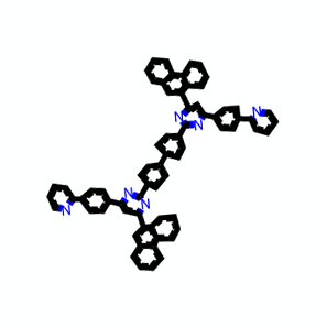 c1ccc(-c2ccc(-c3cc(-c4cc5ccccc5c5ccccc45)nc(-c4ccc(-c5ccc(-c6nc(-c7ccc(-c8ccccn8)cc7)cc(-c7cc8ccccc8c8ccccc78)n6)cc5)cc4)n3)cc2)nc1